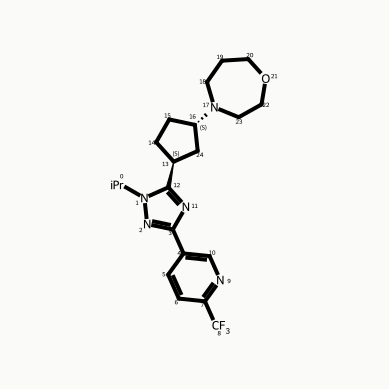 CC(C)n1nc(-c2ccc(C(F)(F)F)nc2)nc1[C@H]1CC[C@H](N2CCCOCC2)C1